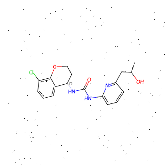 CC(O)Cc1cccc(NC(=O)N[C@H]2CCOc3c(Cl)cccc32)n1